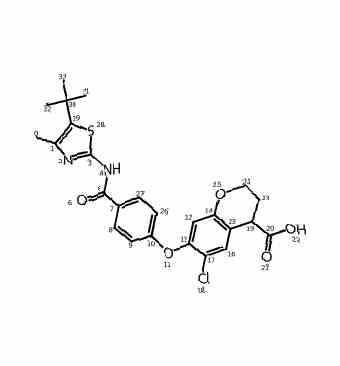 Cc1nc(NC(=O)c2ccc(Oc3cc4c(cc3Cl)C(C(=O)O)CCO4)cc2)sc1C(C)(C)C